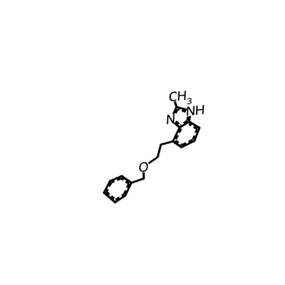 Cc1nc2c(CCOCc3ccccc3)cccc2[nH]1